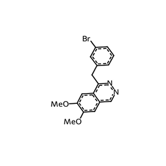 COc1cc2cnnc(Cc3cccc(Br)c3)c2cc1OC